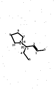 CC=C[C@@H](CC)N1CCCC1